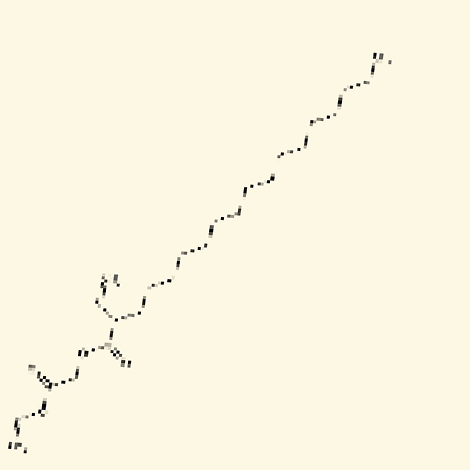 C=COC(=O)COC(=O)C(C=C)CCCCCCCCCCCCCCCC